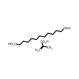 C=C(C)C(=O)O.CCCCCCCCCCCCCCCCCCCCCC(=O)O